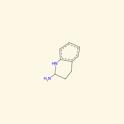 NC1CCc2ccccc2N1